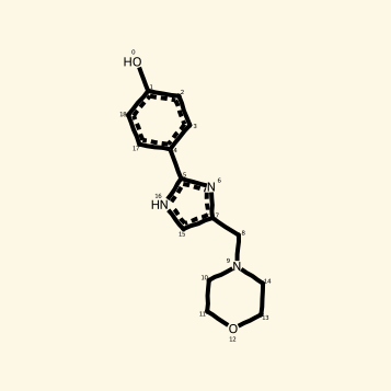 Oc1ccc(-c2nc(CN3CCOCC3)c[nH]2)cc1